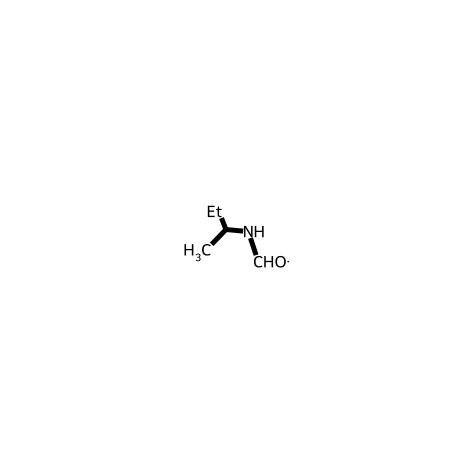 CCC(C)N[C]=O